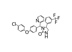 O=C1NCC(c2cccc(C(F)(F)F)c2)N1C(c1ccc(Oc2ccc(Cl)cc2)cc1)c1ccccn1